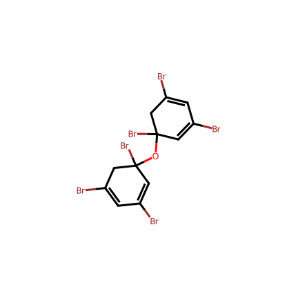 BrC1=CC(Br)(OC2(Br)C=C(Br)C=C(Br)C2)CC(Br)=C1